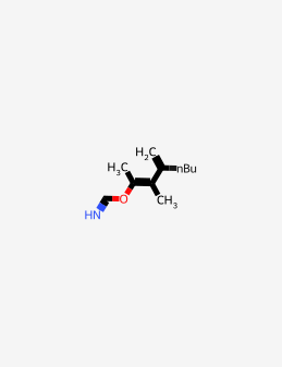 C=C(CCCC)/C(C)=C(\C)OC=N